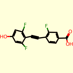 O=C(O)c1ccc(C#Cc2c(F)cc(O)cc2F)c(F)c1